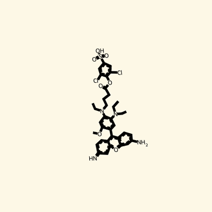 CCN(CC)c1cc(-c2c3ccc(=N)cc-3oc3cc(N)ccc23)c(OC)cc1N(CC)CCCC(=O)Oc1c(Cl)cc(S(=O)(=O)O)cc1Cl